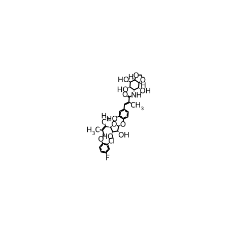 C/C(COc1ccc(F)cc1Cl)=C(\C)[C@H]1O[C@@H](Oc2ccc(/C=C(\C)C(=O)N[C@@H]3[C@H](O)[C@@H](O)[C@H]4OCO[C@H]4[C@@H]3O)cc2O)[C@@H](O)[C@@H]1O